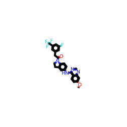 COc1ccc2c(Nc3ccc4c(c3)CCN4C(=O)Cc3cc(F)cc(C(F)(F)F)c3)ncnc2c1